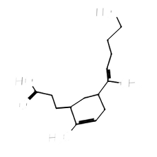 CCCCC=C(C)C1CC=C(C)C(CCC(=O)O)C1